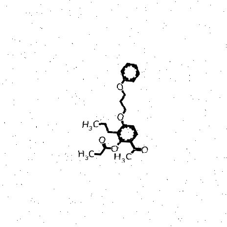 CCCc1c(OCCCOc2ccccc2)ccc(C(C)=O)c1OC(=O)CC